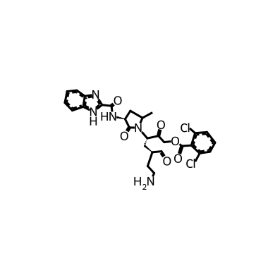 CC1C[C@H](NC(=O)c2nc3ccccc3[nH]2)C(=O)N1[C@@H](C[C@@H](C=O)CCN)C(=O)COC(=O)c1c(Cl)cccc1Cl